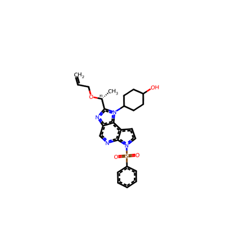 C=CCO[C@H](C)c1nc2cnc3c(ccn3S(=O)(=O)c3ccccc3)c2n1C1CCC(O)CC1